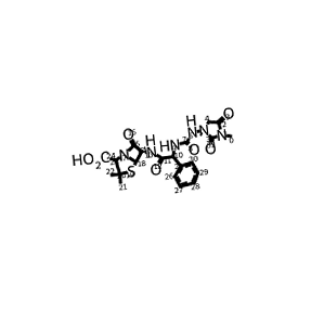 CN1C(=O)CN(NC(=O)NC(C(=O)N[C@H]2C(=O)N3C2SC(C)(C)C3C(=O)O)c2ccccc2)C1=O